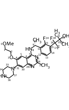 COCCOc1cc2c(N[C@H](C)c3cccc(C(F)(F)C(C)(C)O)c3F)nc(C)nc2cc1N1CCNCC1